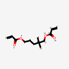 C=CC(=O)OCCCC(C)(C)COC(=O)C=C